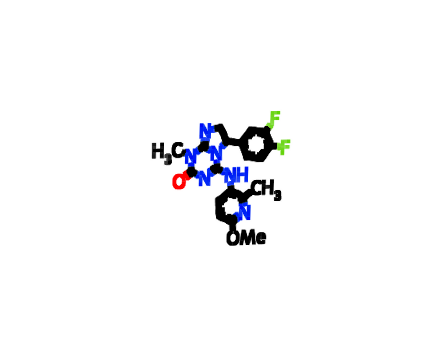 COc1ccc(NC2=NC(=O)N(C)C3=NCC(c4ccc(F)c(F)c4)N23)c(C)n1